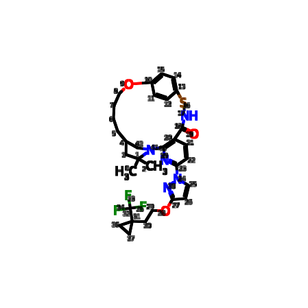 CC1(C)CC2CCCCOc3ccc(cc3)SNC(=O)c3ccc(-n4ccc(OCCC5(C(F)(F)F)CC5)n4)nc3N1C2